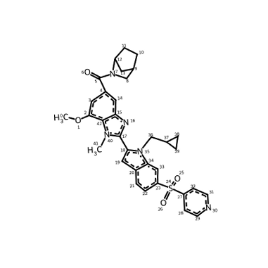 COc1cc(C(=O)N2CC3CCC2C3)cc2nc(-c3cc4ccc(S(=O)(=O)c5ccncc5)cc4n3CC3CC3)n(C)c12